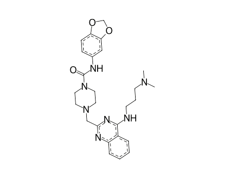 CN(C)CCCNc1nc(CN2CCN(C(=O)Nc3ccc4c(c3)OCO4)CC2)nc2ccccc12